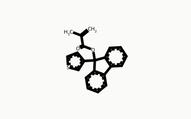 C=C(C)C(=O)OC1(c2ccsc2)c2ccccc2-c2ccccc21